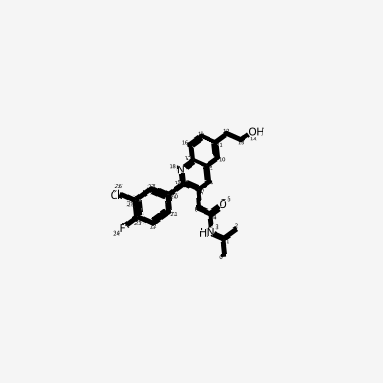 CC(C)NC(=O)Cc1cc2cc(CCO)ccc2nc1-c1ccc(F)c(Cl)c1